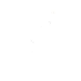 CN(CC(=O)NO)C(=O)C1CCCC1C(=O)O